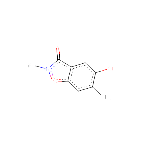 Cc1cc2on(C(C)C)c(=O)c2cc1O